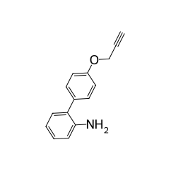 C#CCOc1ccc(-c2ccccc2N)cc1